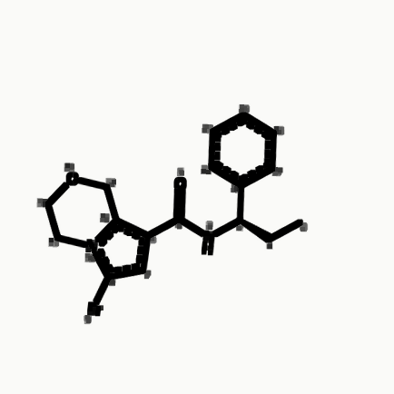 CC[C@@H](NC(=O)c1cc(Br)n2c1COCC2)c1ccccc1